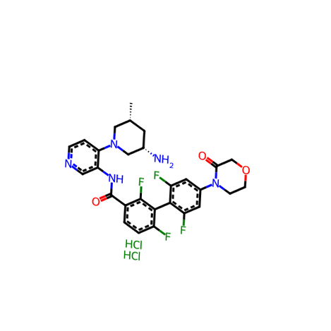 C[C@@H]1C[C@H](N)CN(c2ccncc2NC(=O)c2ccc(F)c(-c3c(F)cc(N4CCOCC4=O)cc3F)c2F)C1.Cl.Cl